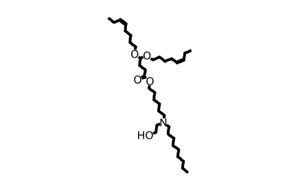 CC/C=C\CCCCOC(CCC(=O)OCCCCCCN(CCO)CCCCCCCCC)OCCCC/C=C\CC